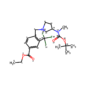 CCOC(=O)c1ccc(CN2CCC(N(C)C(=O)OC(C)(C)C)C2)c(C(F)(F)F)c1